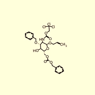 C=CCO[C@H]1O[C@H](COC(=O)OCc2ccccc2)[C@@H](O)[C@H](OCc2ccccc2)[C@H]1NC(=O)OCC(Cl)(Cl)Cl